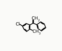 C=C(c1ccccc1)c1cc(Cl)ccc1C